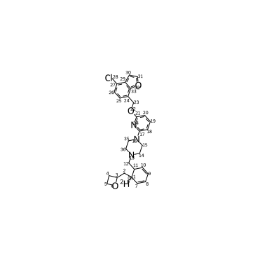 [2H][C@]1(CC2CCO2)C=CC=CC1CN1CCN(c2cccc(OCc3ccc(Cl)c4ccoc34)n2)CC1